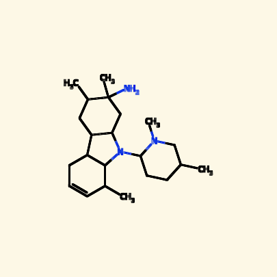 CC1CCC(N2C3CC(C)(N)C(C)CC3C3CC=CC(C)C32)N(C)C1